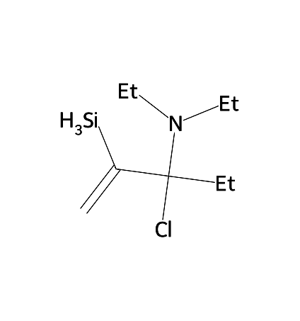 C=C([SiH3])C(Cl)(CC)N(CC)CC